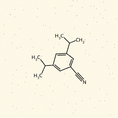 [CH2]C(C)c1cc(C#N)cc(C(C)C)c1